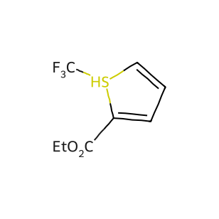 CCOC(=O)C1=CC=C[SH]1C(F)(F)F